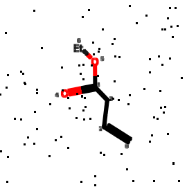 C=CCC(=O)OCC